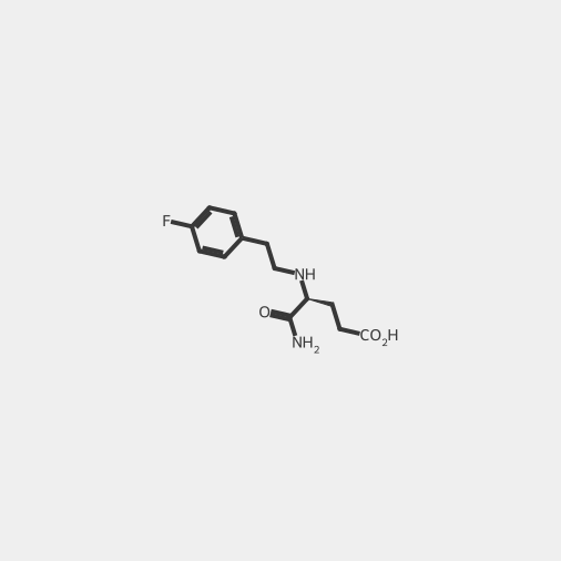 NC(=O)[C@H](CCC(=O)O)NCCc1ccc(F)cc1